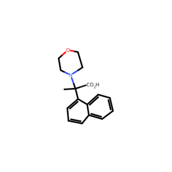 [CH2]C(C(=O)O)(c1cccc2ccccc12)N1CCOCC1